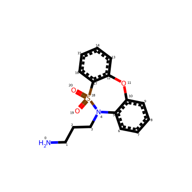 NCCCN1c2ccccc2Oc2ccccc2S1(=O)=O